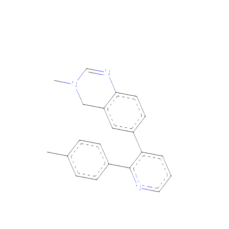 Cc1ccc(-c2ncccc2-c2ccc3c(c2)CN(C)C=N3)cc1